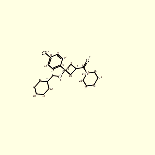 O=C(C1C[N+](OCC2CCCCC2)(c2ccc(Cl)cc2)C1)N1CCCCC1